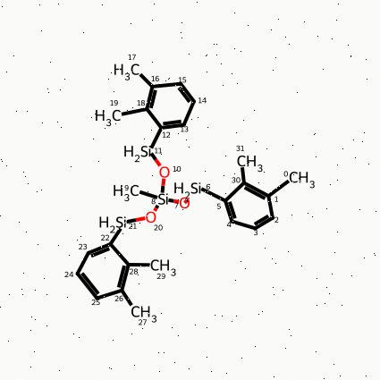 Cc1cccc([SiH2]O[Si](C)(O[SiH2]c2cccc(C)c2C)O[SiH2]c2cccc(C)c2C)c1C